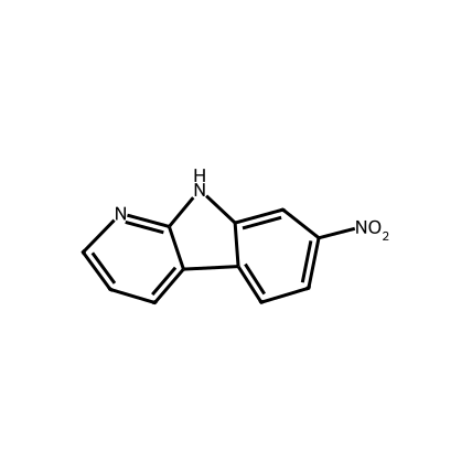 O=[N+]([O-])c1ccc2c(c1)[nH]c1ncccc12